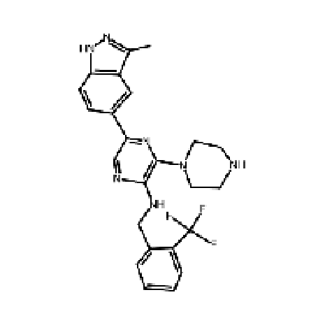 Cc1n[nH]c2ccc(-c3cnc(NCc4ccccc4C(F)(F)F)c(N4CCNCC4)n3)cc12